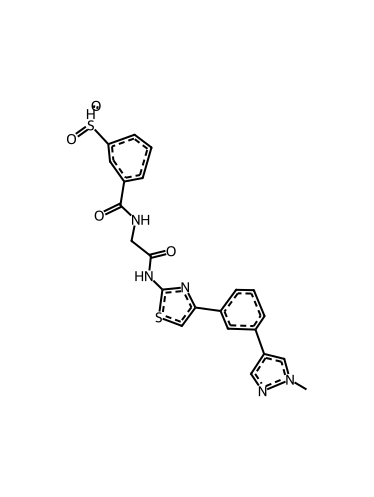 Cn1cc(-c2cccc(-c3csc(NC(=O)CNC(=O)c4cccc([SH](=O)=O)c4)n3)c2)cn1